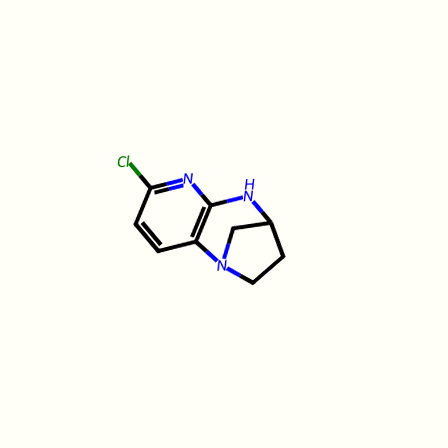 Clc1ccc2c(n1)NC1CCN2C1